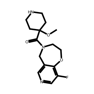 COC1(C(=O)N2CCOc3c(F)cncc3C2)CCNCC1